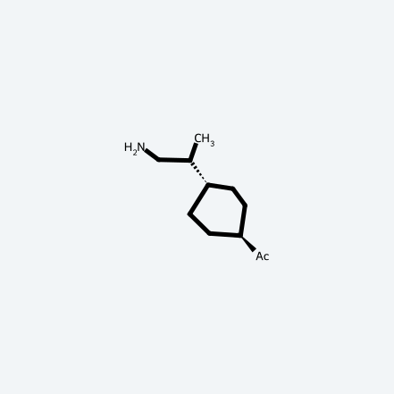 CC(=O)[C@H]1CC[C@H](C(C)CN)CC1